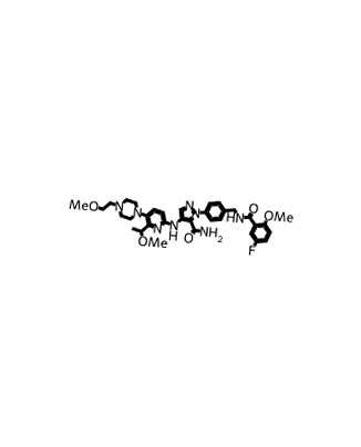 COCCN1CCN(c2ccc(Nc3cnn(-c4ccc(CNC(=O)c5cc(F)ccc5OC)cc4)c3C(N)=O)nc2C(C)OC)CC1